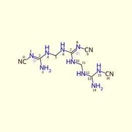 N#C/N=C(\N)NCN/C(=N/C#N)NCNC(N)NC#N